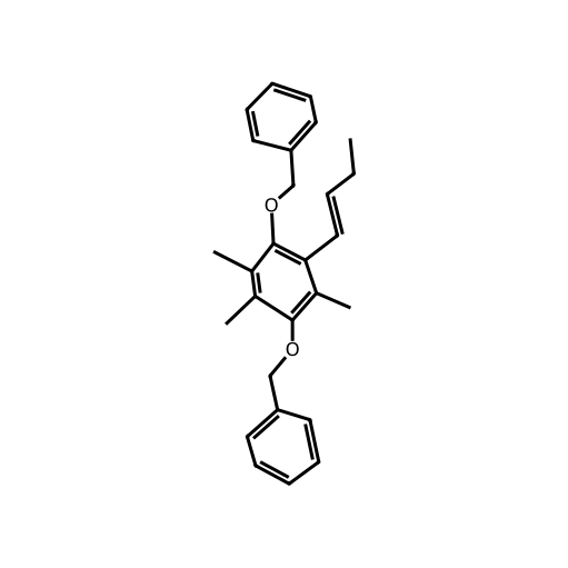 CCC=Cc1c(C)c(OCc2ccccc2)c(C)c(C)c1OCc1ccccc1